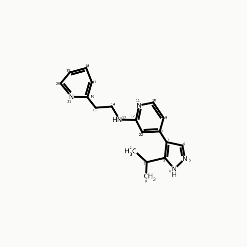 CC(C)c1[nH]ncc1-c1ccnc(NCCc2ccccn2)c1